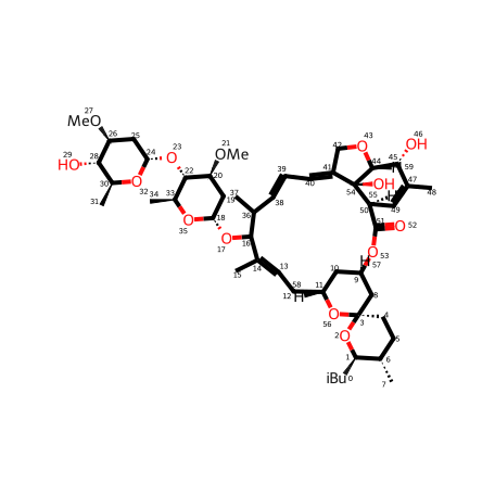 CCC(C)[C@H]1O[C@]2(CC[C@@H]1C)C[C@@H]1C[C@@H](C/C=C(\C)C(O[C@H]3C[C@H](OC)[C@@H](O[C@H]4C[C@H](OC)[C@@H](O)[C@H](C)O4)[C@H](C)O3)C(C)/C=C/C=C3\CO[C@@H]4[C@H](O)C(C)=C[C@@H](C(=O)O1)[C@]34O)O2